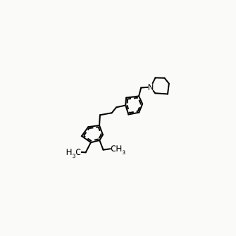 CCc1ccc(CCCc2cccc(CN3CCCCC3)c2)cc1CC